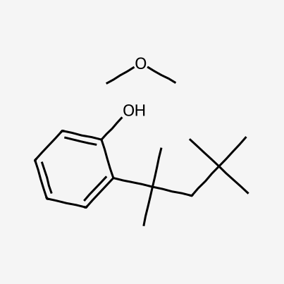 CC(C)(C)CC(C)(C)c1ccccc1O.COC